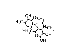 CO[C@H]1[C@H](O[C@@H]2C(C)OC(O)[C@H](O)[C@H]2N(C)C)O[C@H](C)[C@@H](C)[C@@H]1O